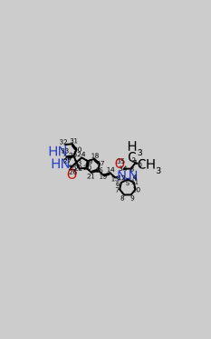 CC(C)C1=NC2(CCCCCC2)N(C/C=C/c2ccc3c(c2)CC2(C3)C(=O)NC3=C2C=CCN3)C1=O